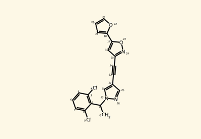 CC(c1c(Cl)cccc1Cl)n1cc(C#Cc2cc(-c3ccco3)on2)cn1